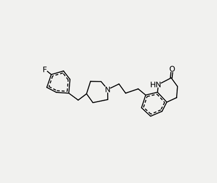 O=C1CCc2cccc(CCCN3CCC(Cc4ccc(F)cc4)CC3)c2N1